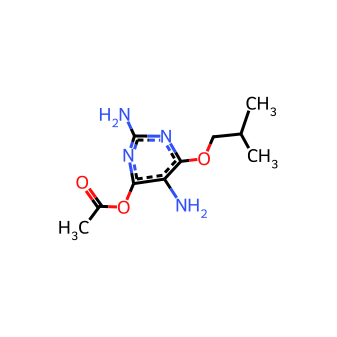 CC(=O)Oc1nc(N)nc(OCC(C)C)c1N